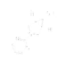 N[C@@H]1[C@H]2CN(c3ncccn3)C[C@@H]12